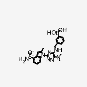 Cc1cc2c([S+](N)[O-])cccc2n1-c1nnc(N(C)C)c(NCc2cccc(B(O)O)c2)n1